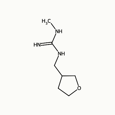 CNC(=N)NCC1CCOC1